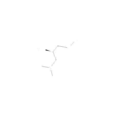 CCOC[C@@H](CN(C)C)OC